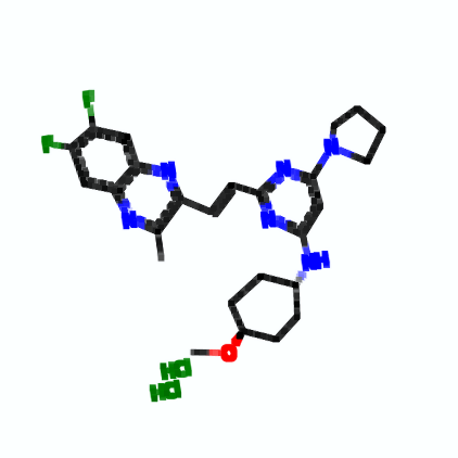 CO[C@H]1CC[C@H](Nc2cc(N3CCCC3)nc(C=Cc3nc4cc(F)c(F)cc4nc3C)n2)CC1.Cl.Cl